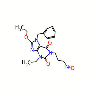 CCOc1nc2c(c(=O)n(CCCN=O)c(=O)n2CC)n1Cc1ccccc1